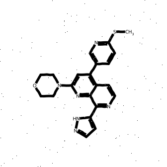 CSc1ccc(-c2cc(N3CCOCC3)nc3c(-c4ccn[nH]4)nccc23)cn1